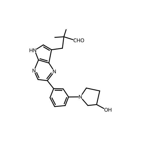 CC(C)(C=O)Cc1c[nH]c2ncc(-c3cccc(N4CCC(O)C4)c3)nc12